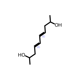 CC(O)C/C=C/C=C/CC(C)O